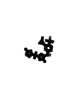 Cc1nnc(C(C)(C)n2cc(Nc3ncc(C(F)(F)F)c(C4CC4C)n3)c(C)n2)o1